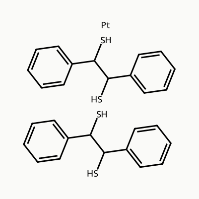 SC(c1ccccc1)C(S)c1ccccc1.SC(c1ccccc1)C(S)c1ccccc1.[Pt]